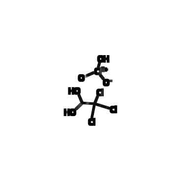 OC(O)C(Cl)(Cl)Cl.[O-][Cl+2]([O-])O